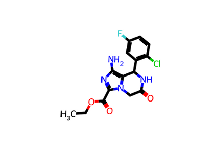 CCOC(=O)c1nc(N)c2n1CC(=O)NC2c1cc(F)ccc1Cl